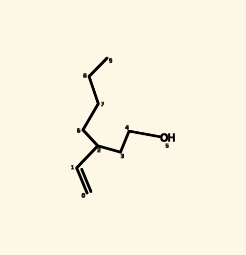 C=CC(CCO)CCCC